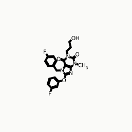 Cn1c(=O)n(CCCO)c(=O)c2c1nc(Oc1cccc(F)c1)n2Cc1ccc(F)cc1